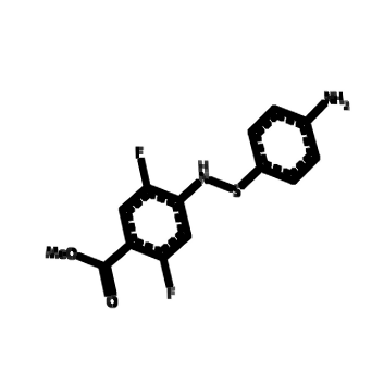 COC(=O)c1cc(F)c(NSc2ccc(N)cc2)cc1F